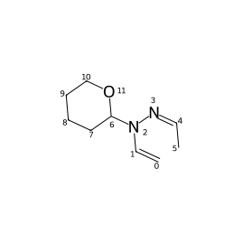 C=CN(/N=C\C)C1CCCCO1